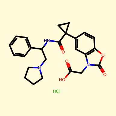 Cl.O=C(O)Cn1c(=O)oc2ccc(C3(C(=O)NC(CN4CCCC4)c4ccccc4)CC3)cc21